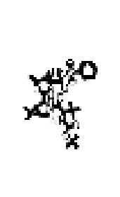 C=CC1C[C@]1(NC(=O)C1C2C(CN1C(=O)C(NC(=O)OC(C)(C)C)C(C)(C)C)C2(C)C)C(=O)NS(=O)(=O)c1ccccc1